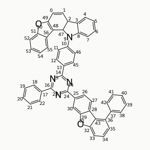 C1=CC2c3ccccc3N(c3ccc(-c4nc(-c5ccccc5)nc(-c5ccc6c(c5)oc5cccc(-c7ccccc7)c56)n4)cc3)C2c2c1oc1ccccc21